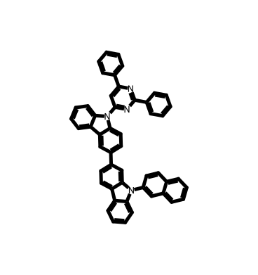 c1ccc(-c2cc(-n3c4ccccc4c4cc(-c5ccc6c7ccccc7n(-c7ccc8ccccc8c7)c6c5)ccc43)nc(-c3ccccc3)n2)cc1